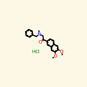 COc1cc2ccc(C(=O)CN(C)Cc3ccccc3)cc2cc1OC.Cl